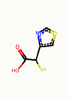 O=C(O)C(S)c1cscn1